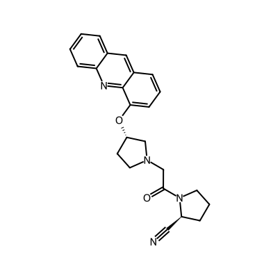 N#C[C@@H]1CCCN1C(=O)CN1CC[C@H](Oc2cccc3cc4ccccc4nc23)C1